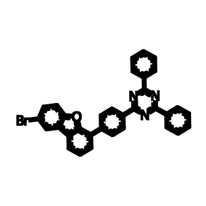 Brc1ccc2oc3c(-c4ccc(-c5nc(-c6ccccc6)nc(-c6ccccc6)n5)cc4)cccc3c2c1